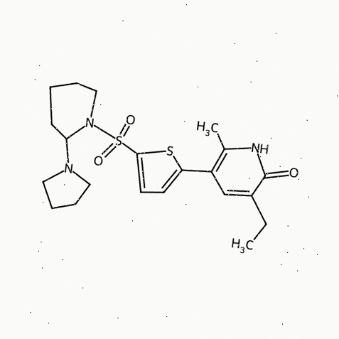 CCc1cc(-c2ccc(S(=O)(=O)N3CCCCC3N3CCCC3)s2)c(C)[nH]c1=O